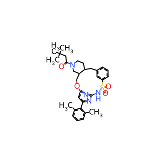 Cc1cccc(C)c1-c1cc2nc(n1)NS(=O)(=O)c1cccc(c1)CC1CCN(C(=O)CC(C)(C)C)CC1CO2